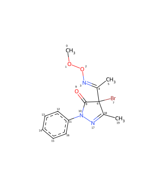 COON=C(C)C1(Br)C(=O)N(c2ccccc2)N=C1C